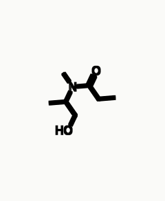 CCC(=O)N(C)C(C)CO